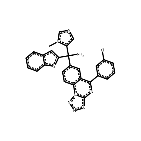 Cn1cncc1C(N)(c1ccc2c(c1)c(-c1cccc(Cl)c1)nc1nnnn12)c1cc2ccccc2s1